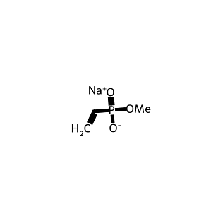 C=CP(=O)([O-])OC.[Na+]